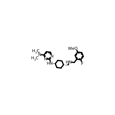 COc1ccc(F)c(CNC[C@H]2CC[C@@H](Nc3nccc(N(C)C)n3)CC2)c1